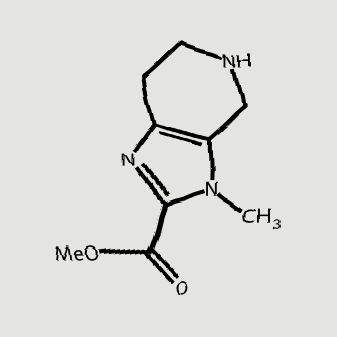 COC(=O)c1nc2c(n1C)CNCC2